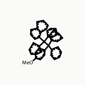 COc1ccc(C(c2ccccc2)(c2ccccc2)C(c2ccccc2)(c2ccccc2)c2cccc3ccccc23)cc1